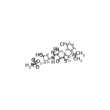 CN(C)[C@@H](c1cccc(Cl)c1)c1csc(C(=O)c2cncnc2N[C@@H]2C[C@H](COS(N)(=O)=O)[C@@H](O)C2)c1